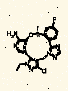 CCn1nc(Cl)c2c1-c1cnc(N)c(c1)O[C@H](C)c1cc(F)ccc1-c1ncnn1C2